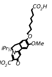 COc1cc2c(cc1OCCCCCCCC(=O)O)C[C@@H](C(C)C)n1cc(C(=O)O)c(=O)cc1-2